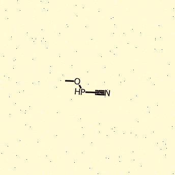 COPC#N